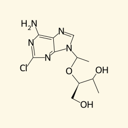 CC(O)[C@@H](CO)OC(C)n1cnc2c(N)nc(Cl)nc21